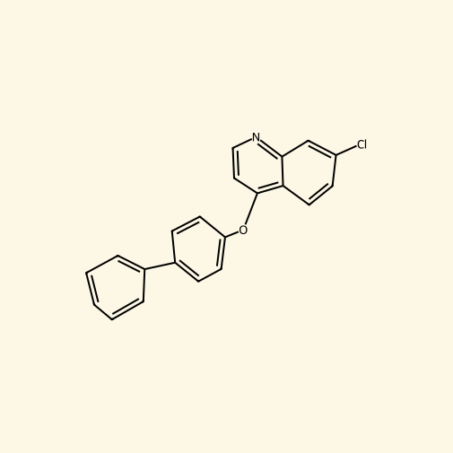 Clc1ccc2c(Oc3ccc(-c4ccccc4)cc3)ccnc2c1